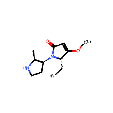 CC(C)C[C@H]1C(OC(C)(C)C)=CC(=O)N1[C@H]1CCN[C@H]1C